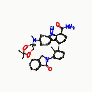 Cc1c(-c2ccc(C(N)=O)c3[nH]c4cc(N(C)[C@@H]5COC(C)(C)O5)ccc4c23)cccc1N1Cc2ccccc2C1=O